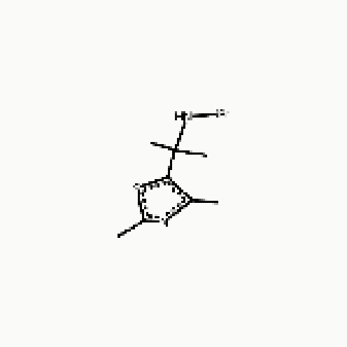 Cc1nc(C)c(C(C)(C)NC(C)C)s1